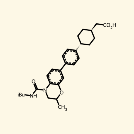 CCC(C)NC(=O)N1CC(C)Oc2cc(-c3ccc([C@H]4CC[C@H](CC(=O)O)CC4)cc3)ccc21